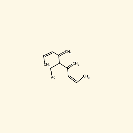 C=C(/C=C\C)C(CC(C)=O)C(=C)/C=C\C